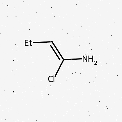 CCC=C(N)Cl